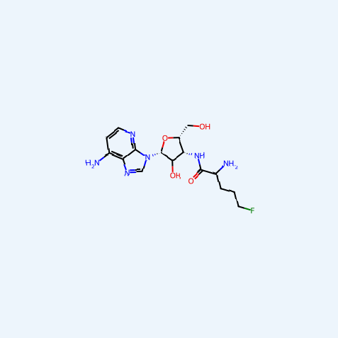 Nc1ccnc2c1ncn2[C@@H]1O[C@H](CO)[C@H](NC(=O)C(N)CCCF)C1O